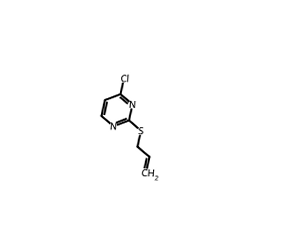 C=CCSc1nccc(Cl)n1